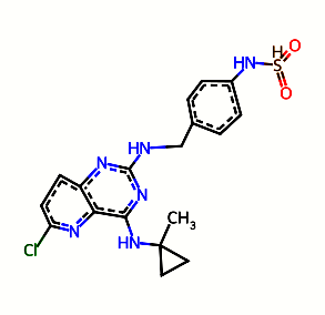 CC1(Nc2nc(NCc3ccc(N[SH](=O)=O)cc3)nc3ccc(Cl)nc23)CC1